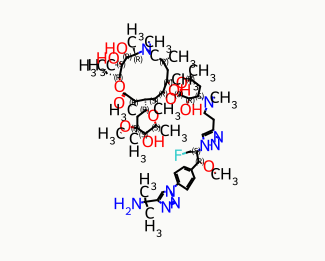 CC[C@H]1OC(=O)[C@H](C)C([C@H]2C[C@@](C)(OC)[C@@H](O)[C@H](C)O2)[C@H](C)[C@@H](O[C@@H]2O[C@H](C)C[C@H](N(C)CCc3cn([C@H](CF)[C@H](OC)c4ccc(-n5cc(C(C)(C)N)nn5)cc4)nn3)[C@H]2O)[C@](C)(O)C[C@@H](C)CN(C)[C@H](C)[C@@H](O)[C@]1(C)O